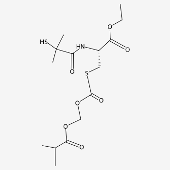 CCOC(=O)[C@H](CSC(=O)OCOC(=O)C(C)C)NC(=O)C(C)(C)S